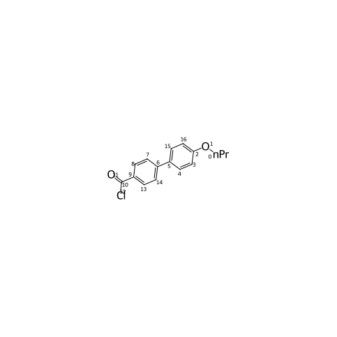 CCCOc1ccc(-c2ccc(C(=O)Cl)cc2)cc1